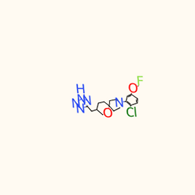 FCOc1ccc(Cl)c(N2CCC3(CCC(Cc4nn[nH]n4)CO3)CC2)c1